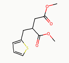 COC(=O)CC(Cc1cccs1)C(=O)OC